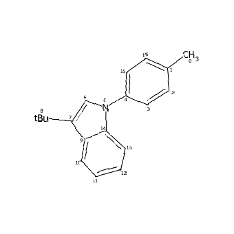 Cc1ccc(-n2cc(C(C)(C)C)c3ccccc32)cc1